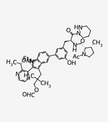 CCn1c(-c2cccnc2[C@H](C)OC)c(CC(C)(C)COC=O)c2cc(-c3cc(O)cc(C[C@H](NC(=O)[C@@H]4[C@H](C)CCN4C(C)=O)C(=O)N4CCCCN4)c3)ccc21